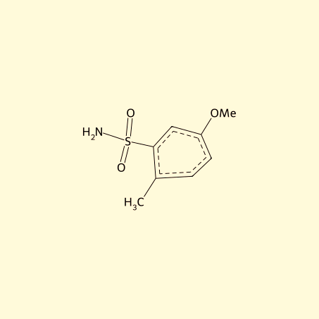 COc1ccc(C)c(S(N)(=O)=O)c1